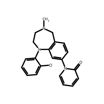 CN1CCN(c2ccccc2Cl)c2cc(-n3ccccc3=O)ccc2C1